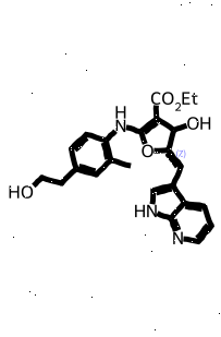 CCOC(=O)C1=C(Nc2ccc(CCO)cc2C)O/C(=C\c2c[nH]c3ncccc23)C1O